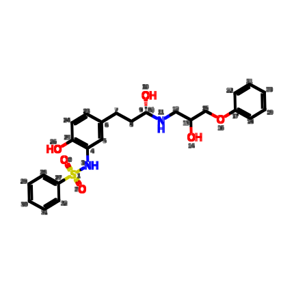 O=S(=O)(Nc1cc(CC[C@H](O)NCC(O)COc2ccccc2)ccc1O)c1ccccc1